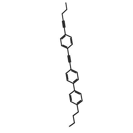 CCCC#Cc1ccc(C#Cc2ccc(-c3ccc(CCCC)cc3)cc2)cc1